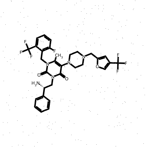 Cc1c(N2CCN(Cc3cc(C(F)(F)F)co3)CC2)c(=O)n(C[C@@H](N)c2ccccc2)c(=O)n1Cc1c(F)cccc1C(F)(F)F